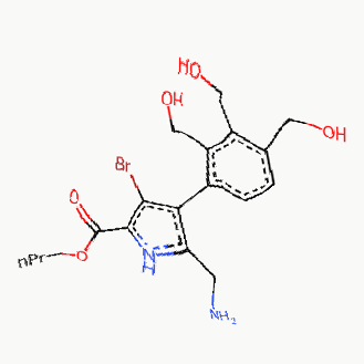 CCCOC(=O)c1[nH]c(CN)c(-c2ccc(CO)c(CO)c2CO)c1Br